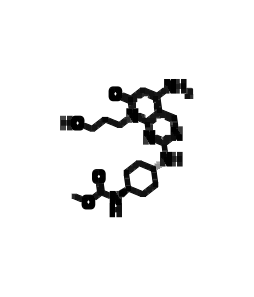 COC(=O)N[C@H]1CC[C@H](Nc2ncc3c(N)cc(=O)n(CCCO)c3n2)CC1